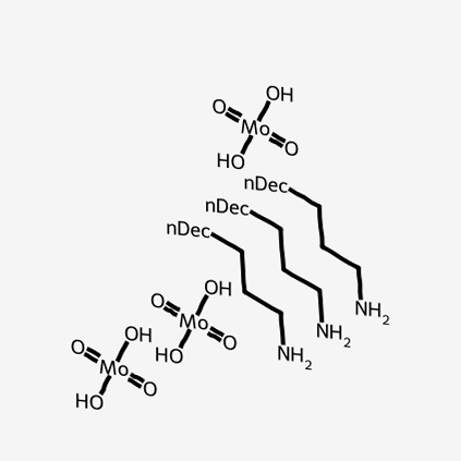 CCCCCCCCCCCCCN.CCCCCCCCCCCCCN.CCCCCCCCCCCCCN.[O]=[Mo](=[O])([OH])[OH].[O]=[Mo](=[O])([OH])[OH].[O]=[Mo](=[O])([OH])[OH]